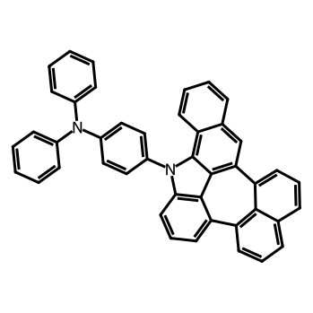 c1ccc(N(c2ccccc2)c2ccc(-n3c4cccc5c4c4c(cc6ccccc6c43)-c3cccc4cccc-5c34)cc2)cc1